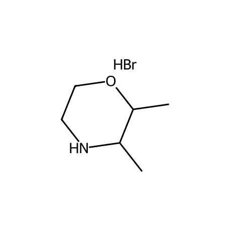 Br.CC1NCCOC1C